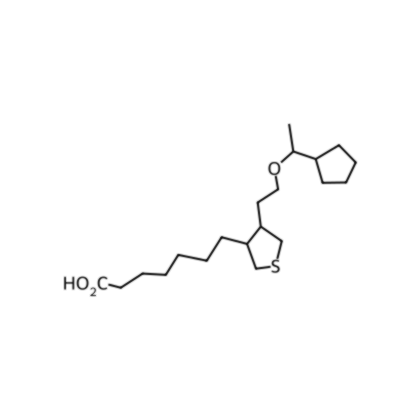 CC(OCCC1CSCC1CCCCCCC(=O)O)C1CCCC1